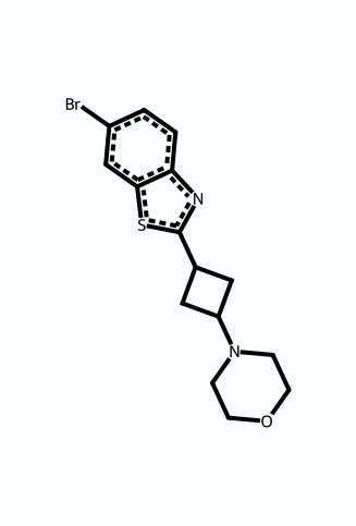 Brc1ccc2nc(C3CC(N4CCOCC4)C3)sc2c1